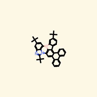 CC(C)(C)c1ccc2c(c1)B1c3c(cc4c5ccccc5c5ccccc5c4c3-2)-n2c(C(C)(C)C)nc3cc(C(C)(C)C)cc1c32